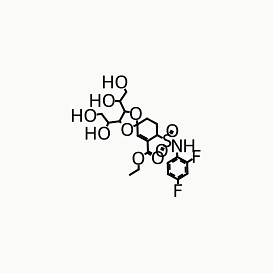 CCOC(=O)C1=CC2(CCC1S(=O)(=O)Nc1ccc(F)cc1F)OC(C(O)CO)C(C(O)CO)O2